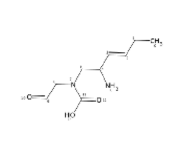 CC/C=C/C(N)CN(CC=O)C(=O)O